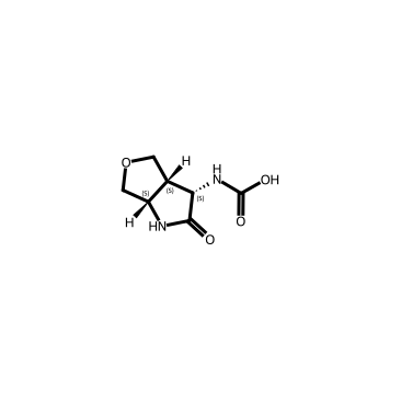 O=C(O)N[C@@H]1C(=O)N[C@@H]2COC[C@H]12